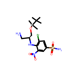 CC(C)(C)[Si](C)(C)OC[C@H](CN)Nc1c(Br)cc(S(N)(=O)=O)cc1[N+](=O)[O-]